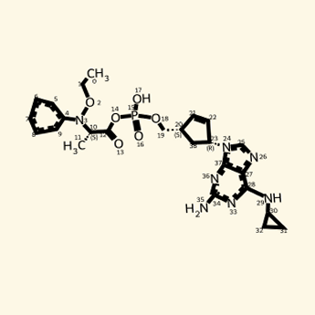 CCON(c1ccccc1)[C@@H](C)C(=O)OP(=O)(O)OC[C@@H]1C=C[C@H](n2cnc3c(NC4CC4)nc(N)nc32)C1